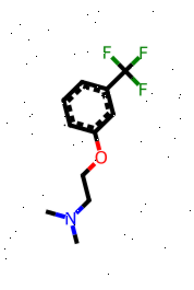 CN(C)CCOc1[c]ccc(C(F)(F)F)c1